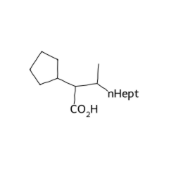 CCCCCCCC(C)C(C(=O)O)C1CCCC1